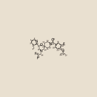 Cc1cccnc1C1CN(CC(F)F)CC2(CCN(C(=O)c3ccc(OC(C)C)c(F)c3)CC2)O1